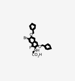 O=C(O)CNc1c(OCc2ccccc2)cc2cc(OCc3ccccc3)c(Br)cc2c1F